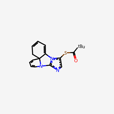 CC(C)(C)C(=O)Sc1cnc2n1C1=CC=CCC13C=CC=CN23